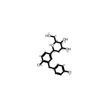 CCc1ccc(Cc2cc(C3CC(O)C(O)C(CO)O3)ccc2Cl)cc1